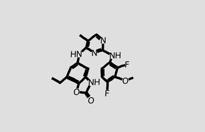 CCc1cc(Nc2nc(Nc3ccc(F)c(OC)c3F)ncc2C)cc2[nH]c(=O)oc12